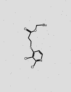 CCC(C)COC(=O)CCSc1ccnc(Cl)c1Cl